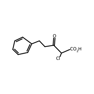 O=C(O)C(Cl)C(=O)CCc1ccccc1